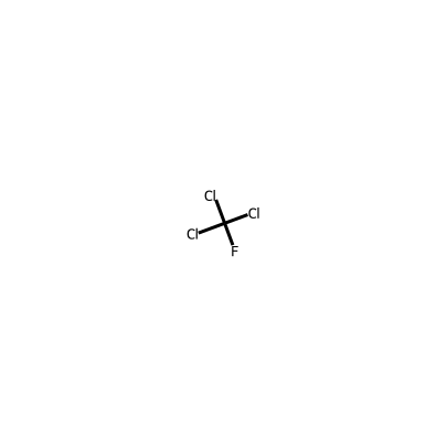 FC(Cl)(Cl)Cl